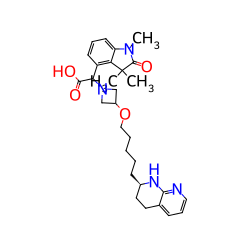 CN1C(=O)C(C)(C)c2c(C(C(=O)O)N3CC(OCCCCC[C@@H]4CCc5cccnc5N4)C3)cccc21